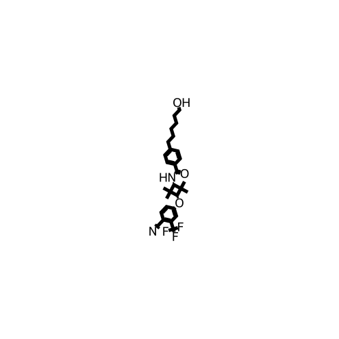 CC1(C)[C@H](NC(=O)c2ccc(CCCCCCO)cc2)C(C)(C)[C@H]1Oc1ccc(C#N)c(C(F)(F)F)c1